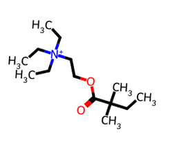 CCC(C)(C)C(=O)OCC[N+](CC)(CC)CC